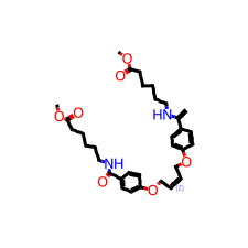 C=C(NCCCCCC(=O)OC)c1ccc(OC/C=C\COc2ccc(C(=O)NCCCCCC(=O)OC)cc2)cc1